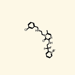 Cc1cnc(NCC(F)(F)c2cccc[n+]2[O-])c(=O)n1CCNCc1cccc(Cl)c1